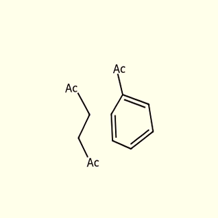 CC(=O)CCC(C)=O.CC(=O)c1ccccc1